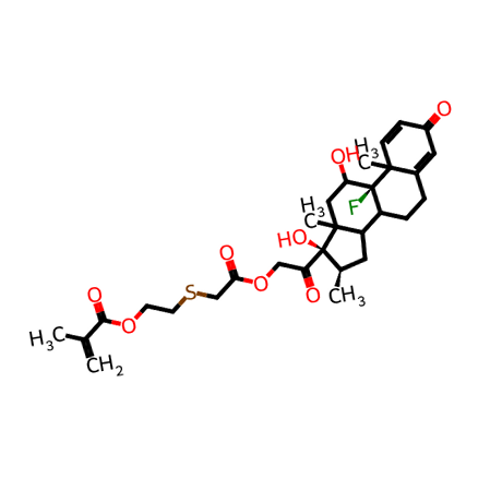 C=C(C)C(=O)OCCSCC(=O)OCC(=O)[C@@]1(O)[C@H](C)CC2C3CCC4=CC(=O)C=CC4(C)[C@@]3(F)C(O)CC21C